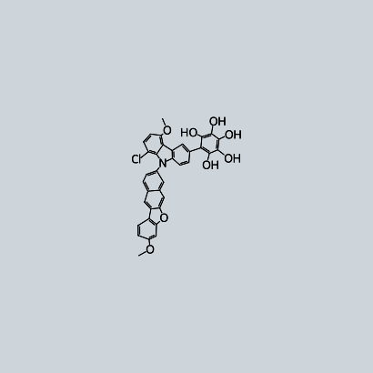 COc1ccc2c(c1)oc1cc3cc(-n4c5ccc(-c6c(O)c(O)c(O)c(O)c6O)cc5c5c(OC)ccc(Cl)c54)ccc3cc12